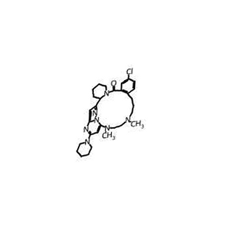 CN1CCCc2ccc(Cl)cc2C(=O)N2CCCCC2c2cc3nc(N4CCCCC4)cc(n3n2)N(C)CC1